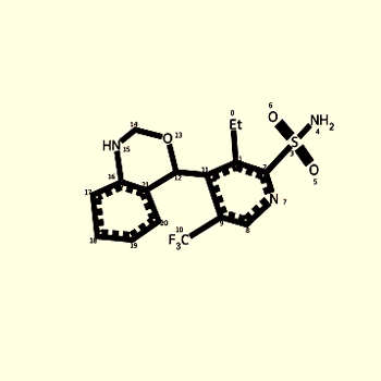 CCc1c(S(N)(=O)=O)ncc(C(F)(F)F)c1C1OCNc2ccccc21